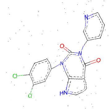 O=c1c2cc[nH]c2n(-c2ccc(Cl)c(Cl)c2)c(=O)n1-c1cccnc1